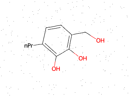 CCCc1ccc(CO)c(O)c1O